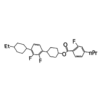 CCCc1ccc(C(=O)OC2CCC(c3ccc(C4CCC(CC)CC4)c(F)c3F)CC2)c(F)c1